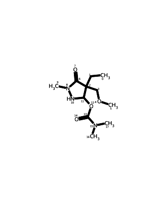 CCC1(COC)C(=O)N(C)NC1OC(=O)N(C)C